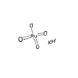 [KH].[O]=[Ru](=[O])(=[O])[Cl]